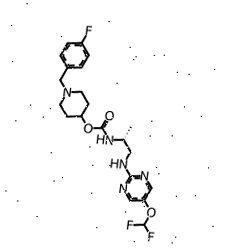 C[C@H](CNc1ncc(OC(F)F)cn1)NC(=O)OC1CCN(Cc2ccc(F)cc2)CC1